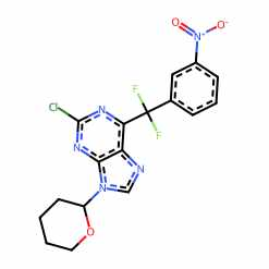 O=[N+]([O-])c1cccc(C(F)(F)c2nc(Cl)nc3c2ncn3C2CCCCO2)c1